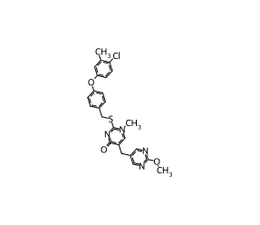 COc1ncc(Cc2cn(C)c(SCc3ccc(Oc4ccc(Cl)c(C)c4)cc3)nc2=O)cn1